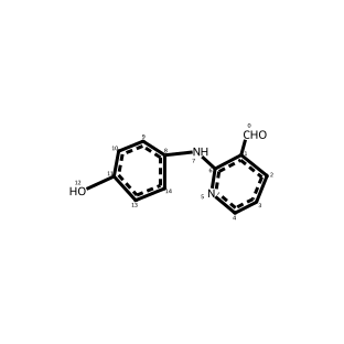 O=Cc1cccnc1Nc1ccc(O)cc1